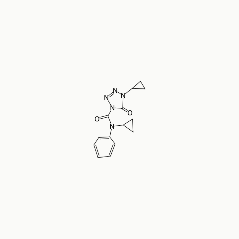 O=C(N(c1ccccc1)C1CC1)n1nnn(C2CC2)c1=O